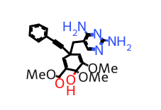 COC(=O)C1=CC(C#Cc2ccccc2)(Cc2cnc(N)nc2N)C=C(OC)C1(O)OC